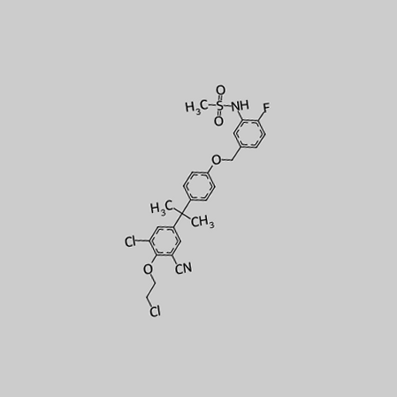 CC(C)(c1ccc(OCc2ccc(F)c(NS(C)(=O)=O)c2)cc1)c1cc(Cl)c(OCCCl)c(C#N)c1